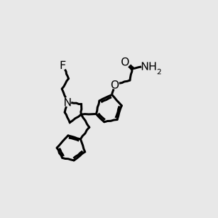 NC(=O)COc1cccc(C2(Cc3ccccc3)CCN(CCF)C2)c1